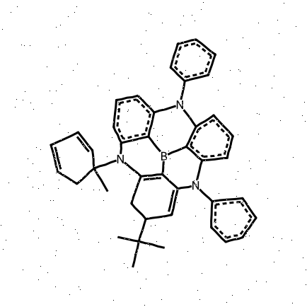 CC(C)(C)C1C=C2C3=C(C1)N(C1(C)C=CC=CC1)c1cccc4c1B3c1c(cccc1N4c1ccccc1)N2c1ccccc1